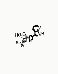 CC[S+]([O-])N1CC(CC(=O)O)(n2cc(-c3c[nH]c4ncccc34)cn2)C1